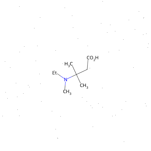 CCN(C)C(C)(C)CC(=O)O